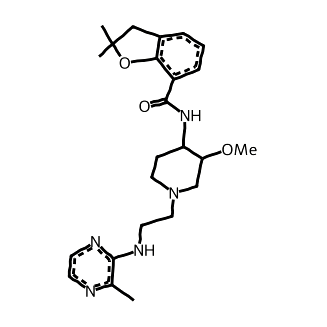 COC1CN(CCNc2nccnc2C)CCC1NC(=O)c1cccc2c1OC(C)(C)C2